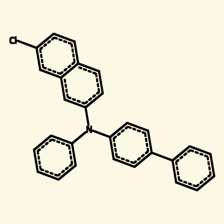 Clc1ccc2ccc(N(c3ccccc3)c3ccc(-c4ccccc4)cc3)cc2c1